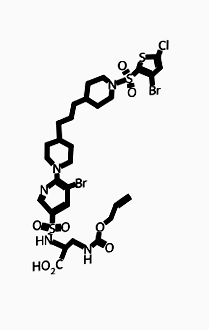 C=CCOC(=O)NCC(NS(=O)(=O)c1cnc(N2CCC(CCCC3CCN(S(=O)(=O)c4sc(Cl)cc4Br)CC3)CC2)c(Br)c1)C(=O)O